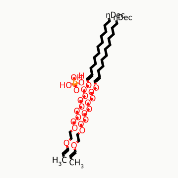 CC=COCCOOOOOOOOOC=CCCCCCCCCCCCCCCCCCCCC.CC=COCCOOOOOOOOOC=CCCCCCCCCCCCCCCCCCCCC.O=P(O)(O)O